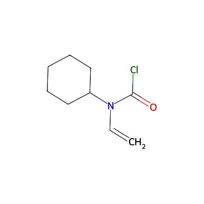 C=CN(C(=O)Cl)C1CCCCC1